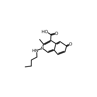 CCCCNn1cc2ccc(=O)cc-2c(C(=O)O)c1C